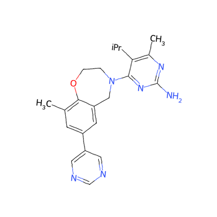 Cc1cc(-c2cncnc2)cc2c1OCCN(c1nc(N)nc(C)c1C(C)C)C2